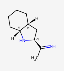 CC(=N)[C@@H]1C[C@H]2CCCC[C@H]2N1